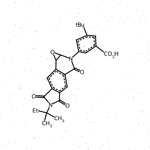 CCC(C)(C)N1C(=O)c2cc3c(cc2C1=O)C1OC1N(c1cc(C(=O)O)cc(C(C)(C)C)c1)C3=O